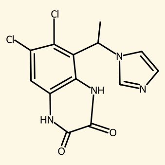 CC(c1c(Cl)c(Cl)cc2[nH]c(=O)c(=O)[nH]c12)n1ccnc1